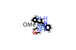 C1COCCN1.COc1cccc2ncc(-c3nc4ccccc4[nH]3)c(N)c12